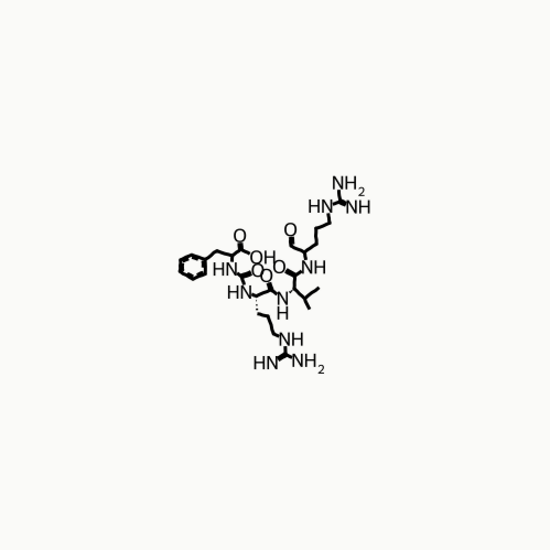 CC(C)[C@H](NC(=O)[C@H](CCCNC(=N)N)NC(=O)NC(Cc1ccccc1)C(=O)O)C(=O)NC(C=O)CCCNC(=N)N